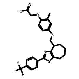 Cc1cc(SCC2CCCCc3sc(-c4ccc(C(F)(F)F)cc4)nc32)ccc1OCC(=O)O